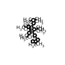 CC(C)(C)c1ccc2c(c1)B1c3ccc(C(C)(C)C)cc3N(c3ccc(-c4cccc5c4-c4ccccc4C5(C)C)cc3)c3cc(C(C)(C)C)cc(c31)N2c1ccc2c(c1)C(C)(C)CCC2(C)C